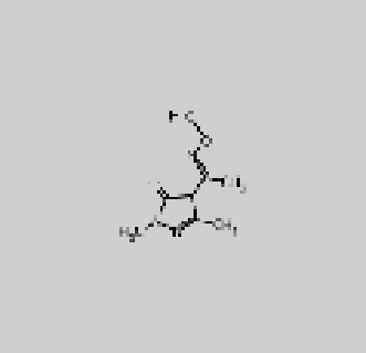 CON=C(C)C1C(=O)N(C)N=C1C